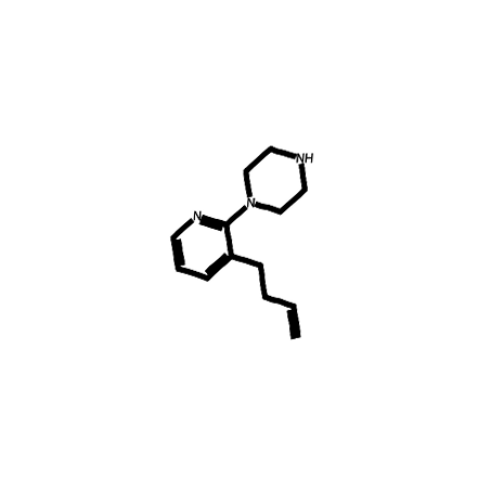 C=CCCc1cccnc1N1CCNCC1